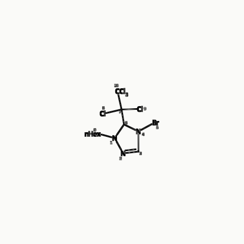 CCCCCCN1N=CN(Br)C1C(Cl)(Cl)C(Cl)(Cl)Cl